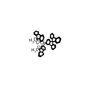 CC1(C)c2ccccc2-c2ccc(N(c3ccc4c(c3)-c3c#cccc3C43c4ccccc4-c4ccccc43)c3ccc4c(c3)C(C)(C)c3ccccc3-4)cc21